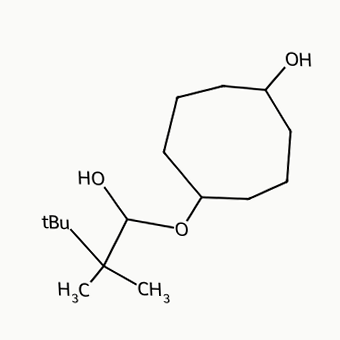 CC(C)(C)C(C)(C)C(O)OC1CCCC(O)CCC1